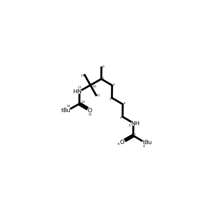 CC(CCCCNC(=O)C(C)(C)C)C(C)(C)NC(=O)C(C)(C)C